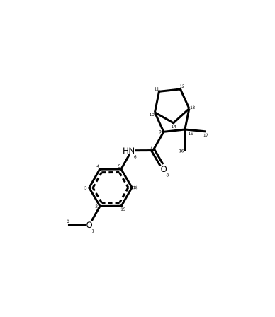 COc1ccc(NC(=O)C2C3CCC(C3)C2(C)C)cc1